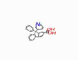 OB(O)c1ccc2c(c1)C(c1ccccc1)(c1cccnc1)c1ccccc1-2